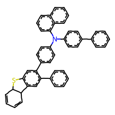 C1=CC2Sc3cc(-c4ccc(N(c5ccc(-c6ccccc6)cc5)c5cccc6ccccc56)cc4)c(-c4ccccc4)cc3C2C=C1